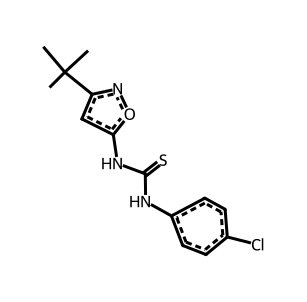 CC(C)(C)c1cc(NC(=S)Nc2ccc(Cl)cc2)on1